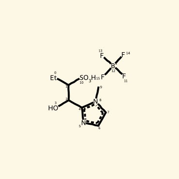 CCC(C(O)c1nccn1C)S(=O)(=O)O.F[B-](F)(F)F